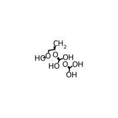 C=CCOO.O=C(O)O.O=C(O)O